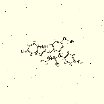 CCCOc1ccc(C2c3[nH]c4ccc(Cl)cc4c3CCN2C(=O)Oc2ccc(F)cc2)cc1